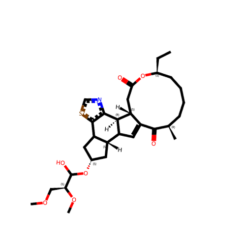 CC[C@H]1CCCC[C@@H](C)C(=O)C2=CC3[C@@H]4C[C@H](OC(O)[C@H](COC)OC)CC4c4scnc4[C@H]3[C@@H]2CC(=O)O1